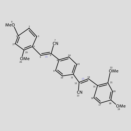 COc1ccc(/C=C(\C#N)c2ccc(/C(C#N)=C/c3ccc(OC)cc3OC)cc2)c(OC)c1